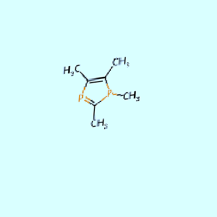 Cc1pc(C)p(C)c1C